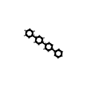 [c]1cccc(-c2ccc(-c3ccc(-c4ccccc4)cc3)cc2)c1